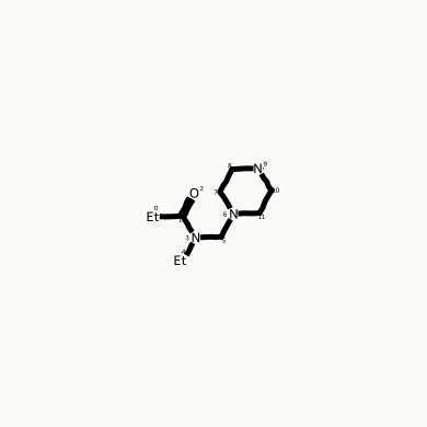 CCC(=O)N(CC)CN1CC[N]CC1